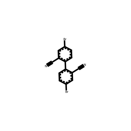 N#Cc1cc(Br)ccc1-c1ccc(Br)cc1C#N